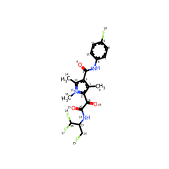 Cc1c(C(=O)Nc2ccc(F)cc2)c(C)n(C)c1C(=O)C(=O)NC(CF)C(F)F